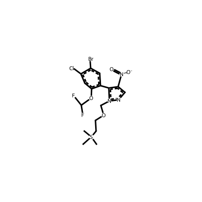 CS(C)(C)CCOCn1ncc([N+](=O)[O-])c1-c1cc(Br)c(Cl)cc1OC(F)F